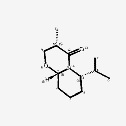 CC(C)[C@@H]1CCC[C@@H]2OC[C@H](C)C(=O)N21